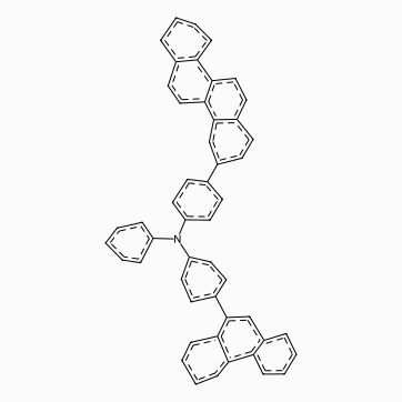 c1ccc(N(c2ccc(-c3ccc4ccc5c6ccccc6ccc5c4c3)cc2)c2ccc(-c3cc4ccccc4c4ccccc34)cc2)cc1